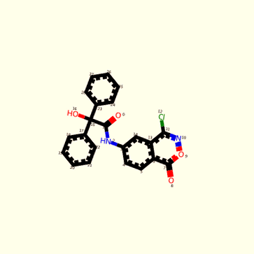 O=C(Nc1ccc2c(=O)onc(Cl)c2c1)C(O)(c1ccccc1)c1ccccc1